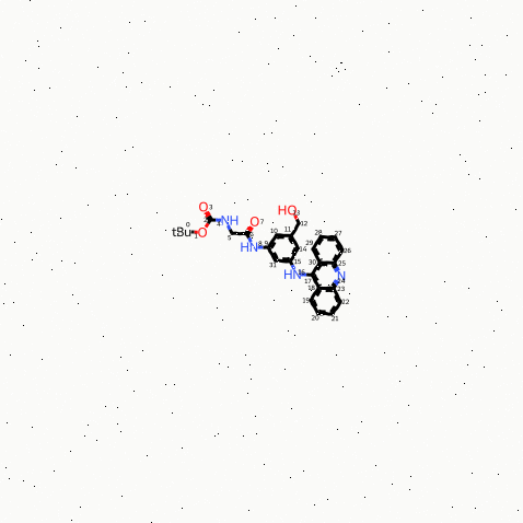 CC(C)(C)OC(=O)NCC(=O)Nc1cc(CO)cc(Nc2c3ccccc3nc3ccccc23)c1